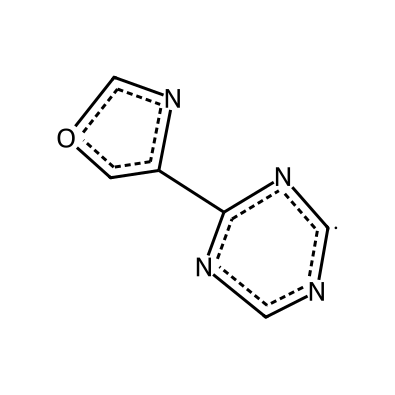 [c]1ncnc(-c2cocn2)n1